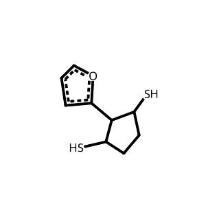 SC1CCC(S)C1c1ccco1